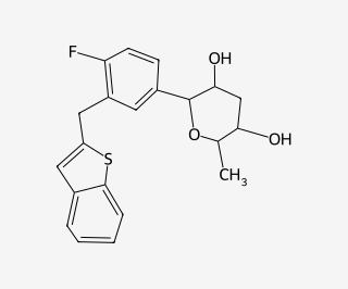 CC1OC(c2ccc(F)c(Cc3cc4ccccc4s3)c2)C(O)CC1O